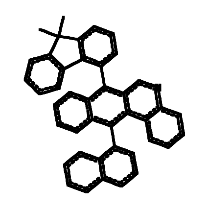 CC1(C)c2ccccc2-c2c(-c3c4ccccc4c(-c4cccc5ccccc45)c4c3cnc3ccccc34)cccc21